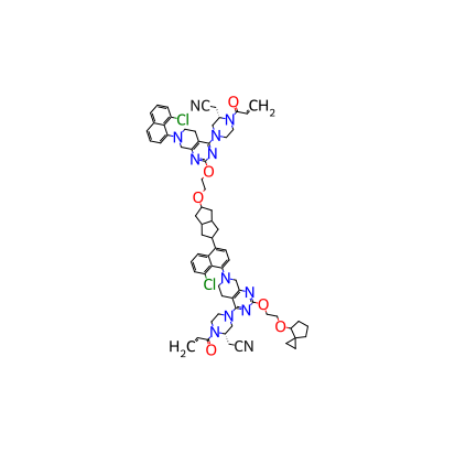 C=CC(=O)N1CCN(c2nc(OCCOC3CC4CC(c5ccc(N6CCc7c(nc(OCCOC8CCCC89CC9)nc7N7CCN(C(=O)C=C)[C@@H](CC#N)C7)C6)c6c(Cl)cccc56)CC4C3)nc3c2CCN(c2cccc4cccc(Cl)c24)C3)C[C@@H]1CC#N